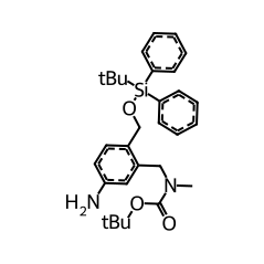 CN(Cc1cc(N)ccc1CO[Si](c1ccccc1)(c1ccccc1)C(C)(C)C)C(=O)OC(C)(C)C